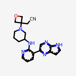 N#CCC1(N2CCCC(Nc3ncccc3-c3cnc4[nH]ccc4n3)C2)COC1